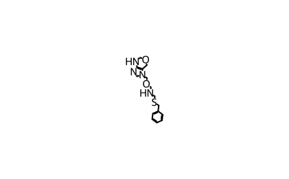 c1ccc(CSCNCOCn2cnc3c2COCN3)cc1